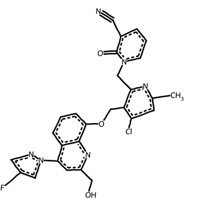 Cc1cc(Cl)c(COc2cccc3c(-n4cc(F)cn4)cc(CO)nc23)c(Cn2cccc(C#N)c2=O)n1